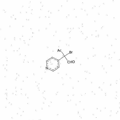 CC(=O)C(Br)(C=O)c1ccncc1